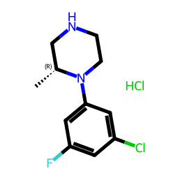 C[C@@H]1CNCCN1c1cc(F)cc(Cl)c1.Cl